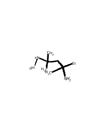 CCC(C)(N)CC(C)(C)NC=O